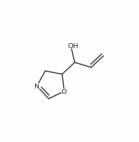 C=CC(O)C1CN=CO1